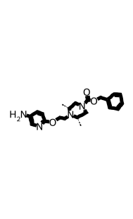 C[C@@H]1CN(C(=O)OCc2ccccc2)C[C@H](C)N1CCOc1ccc(N)cn1